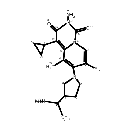 CNC(C)C1CCN(c2c(F)cn3c(=O)n(N)c(=O)c(C4CC4)c3c2C)C1